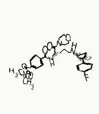 CN(C)S(=O)(=O)c1ccc(C(=O)N[C@@H](CCCN[C@@H]2C[C@H]2c2ccc(F)cc2)C(=O)N2CCOCC2)cc1